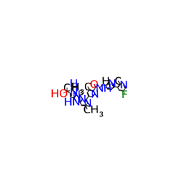 Cc1cc(Nc2cc(C(C)O)[nH]n2)nc(-c2cnc(C(=O)NCc3ccc(-c4cc(F)cnc4C)nc3)c(C)c2)n1